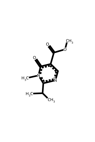 COC(=O)c1cnc(C(C)C)n(C)c1=O